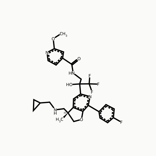 COc1cc(C(=O)NCC(O)(c2cc3c(c(-c4ccc(F)cc4)n2)OC[C@]3(C)CNCC2CC2)C(F)(F)F)ccn1